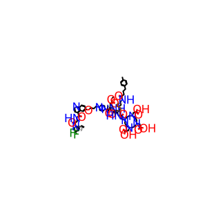 C=C[C@H]1CC(F)(F)CN1C(=O)CNC(=O)c1ccnc2ccc(OCCCN3CCN(C(=O)[C@H](CC(=O)OC)NC(=O)[C@H](CSCCNC(=O)CCCc4ccc(C)cc4)NC(=O)CN4CCN(CC(=O)O)CCN(CC(=O)O)CCN(CC(=O)O)CC4)CC3)cc12